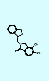 O=C1c2ccc(O)c(O)c2CN1C[C@@H]1CCc2ccccc21